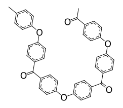 CC(=O)c1ccc(Oc2ccc(C(=O)c3ccc(Oc4ccc(C(=O)c5ccc(Oc6ccc(C)cc6)cc5)cc4)cc3)cc2)cc1